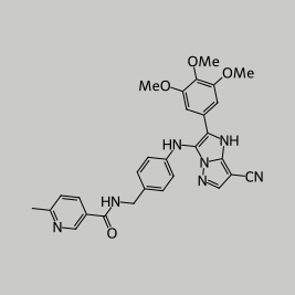 COc1cc(-c2[nH]c3c(C#N)cnn3c2Nc2ccc(CNC(=O)c3ccc(C)nc3)cc2)cc(OC)c1OC